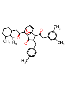 Cc1ccc(CC2C(=O)C3C(C(=O)CC4CCCC(C)C4C)C4C=CC3(O4)C2C(=O)Cc2cc(C)cc(C)c2)cc1